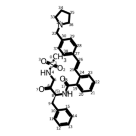 CS(=O)(=O)NCC(=O)[C@H](Cc1ccccc1)NC(=O)c1ccccc1C=Cc1ccc(CN2CCCC2)cc1